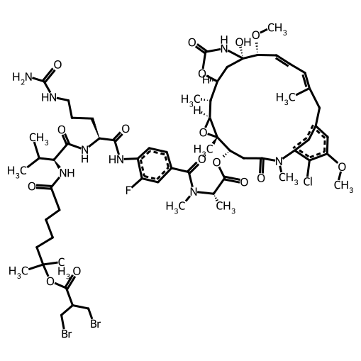 COc1cc2cc(c1Cl)N(C)C(=O)C[C@H](OC(=O)[C@H](C)N(C)C(=O)c1ccc(NC(=O)[C@H](CCCNC(N)=O)NC(=O)[C@@H](NC(=O)CCCCC(C)(C)OC(=O)C(CBr)CBr)C(C)C)c(F)c1)[C@]1(C)O[C@H]1[C@H](C)[C@@H]1C[C@@](O)(NC(=O)O1)[C@H](OC)/C=C/C=C(\C)C2